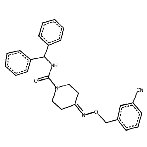 N#Cc1cccc(CON=C2CCN(C(=O)NC(c3ccccc3)c3ccccc3)CC2)c1